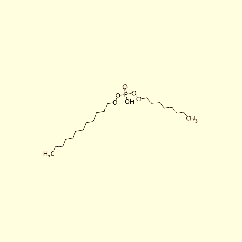 CCCCCCCCCCCCOOP(=O)(O)OOCCCCCCCC